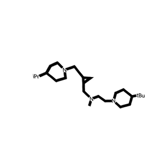 CC(C)C1CCN(CC2CC2CN(C)CCN2CCC(C(C)(C)C)CC2)CC1